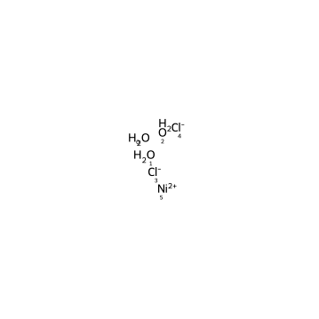 O.O.O.[Cl-].[Cl-].[Ni+2]